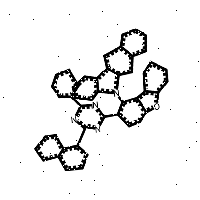 c1ccc(-c2nc(-c3ccc4oc5ccccc5c4c3-n3c4ccccc4c4cc5ccccc5cc43)nc(-c3cccc4ccccc34)n2)cc1